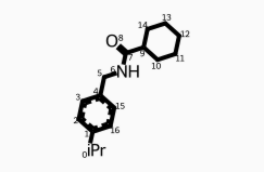 CC(C)c1ccc(CNC(=O)C2CCCCC2)cc1